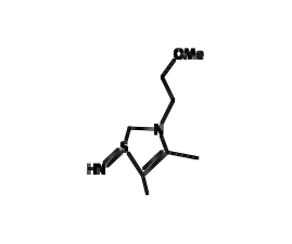 COCCN1CS(=N)C(C)=C1C